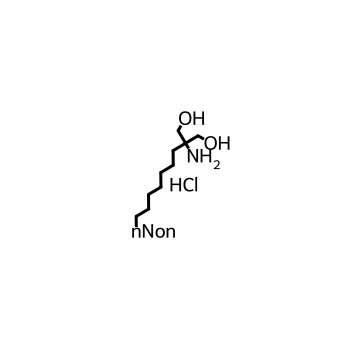 CCCCCCCCCCCCCCCCC(N)(CO)CO.Cl